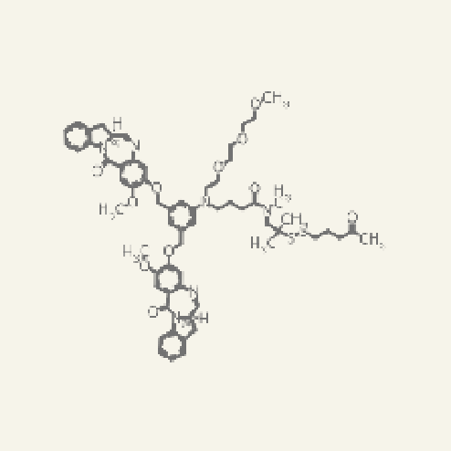 COCCOCCOCCN(CCCC(=O)N(C)CC(C)(C)SSCCCC(C)=O)c1cc(COc2cc3c(cc2OC)C(=O)N2c4ccccc4C[C@H]2C=N3)cc(COc2cc3c(cc2OC)C(=O)N2c4ccccc4C[C@H]2C=N3)c1